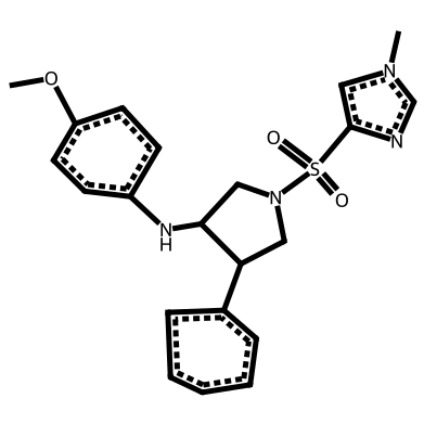 COc1ccc(NC2CN(S(=O)(=O)c3cn(C)cn3)CC2c2ccccc2)cc1